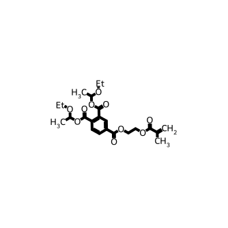 C=C(C)C(=O)OCCOC(=O)c1ccc(C(=O)OC(C)OCC)c(C(=O)OC(C)OCC)c1